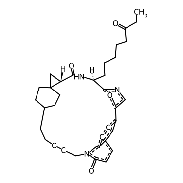 CCC(=O)CCCCC[C@@H]1NC(=O)[C@H]2CC23CCC(CCCCCn2c(=O)ccc4cc(ccc42)-c2cnc1o2)CC3